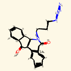 [N-]=[N+]=NCCCn1c2c(c3ccccc3c1=O)C(=O)c1ccccc1-2